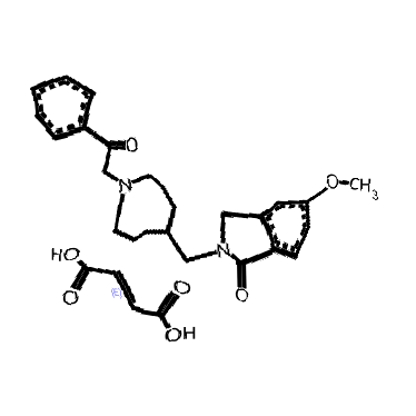 COc1ccc2c(c1)CN(CC1CCN(CC(=O)c3ccccc3)CC1)C2=O.O=C(O)/C=C/C(=O)O